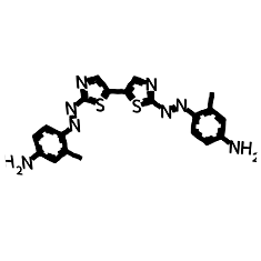 Cc1cc(N)ccc1/N=N/c1ncc(-c2cnc(/N=N/c3ccc(N)cc3C)s2)s1